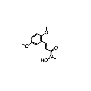 COc1ccc(OC)c(C=CC(=O)N(C)O)c1